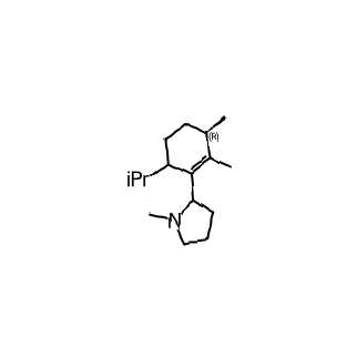 CC1=C(C2CCCN2C)C(C(C)C)CC[C@H]1C